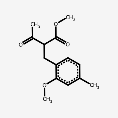 COC(=O)C(Cc1ccc(C)cc1OC)C(C)=O